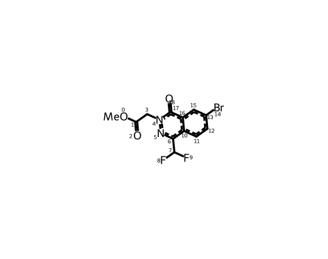 COC(=O)Cn1nc(C(F)F)c2ccc(Br)cc2c1=O